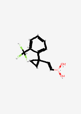 OB(O)C=CC1(c2ccccc2C(F)(F)F)CC1